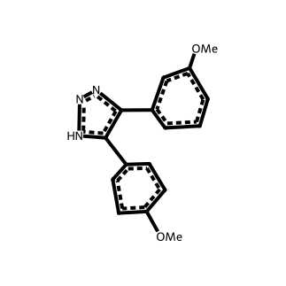 COc1ccc(-c2[nH]nnc2-c2cccc(OC)c2)cc1